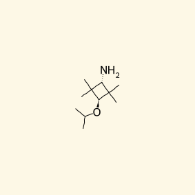 CC(C)O[C@H]1C(C)(C)[C@H](N)C1(C)C